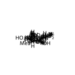 CSCC[C@H](NC(=O)CNC(=O)[C@H](CC(=O)O)NC(=O)C(Cc1ccc(O)cc1)NC(=O)[C@H](CC(C)C)NC(=O)CNC(=O)[C@@H](N)CSSc1ccccn1)C(=O)NC(CCC(=O)O)C(=O)N[C@@H](Cc1cnc[nH]1)C(=O)NC(CC(C)C)C(=O)O